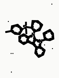 Cc1ccc([Si](C)(C)c2ccccc2-n2c3ccccc3c3c4ccccc4n(-c4ccccc4)c32)cc1